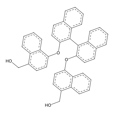 OCc1ccc(Oc2ccc3ccccc3c2-c2c(Oc3ccc(CO)c4ccccc34)ccc3ccccc23)c2ccccc12